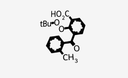 Cc1ccccc1C(=O)c1cccc(C(=O)O)c1OOC(C)(C)C